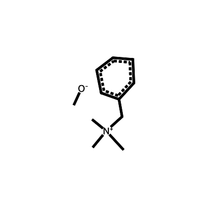 C[N+](C)(C)Cc1ccccc1.C[O-]